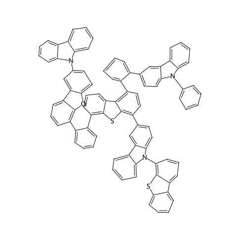 c1ccc(-n2c3ccccc3c3cc(-c4ccccc4-c4ccc(-c5ccc6c(c5)c5ccccc5n6-c5cccc6c5sc5ccccc56)c5sc6c(-c7ccccc7-c7cccc8c7oc7ccc(-n9c%10ccccc%10c%10ccccc%109)cc78)cccc6c45)ccc32)cc1